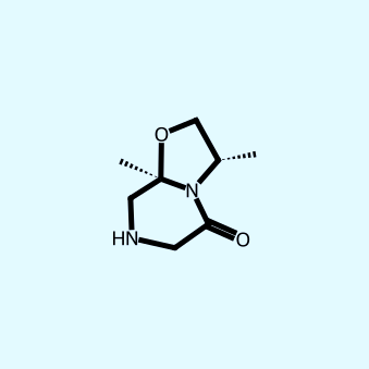 C[C@H]1CO[C@]2(C)CNCC(=O)N12